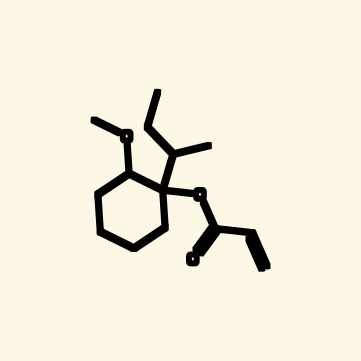 C=CC(=O)OC1(C(C)CC)CCCCC1OC